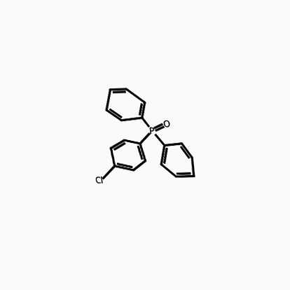 O=P(c1ccccc1)(c1ccccc1)c1ccc(Cl)cc1